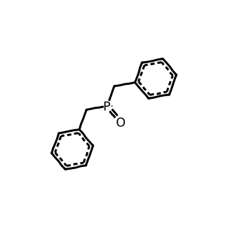 O=[P](Cc1ccccc1)Cc1ccccc1